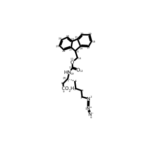 [N-]=[N+]=NCCCC[C@H](CC(=O)O)NC(=O)OCC1c2ccccc2-c2ccccc21